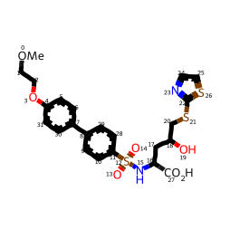 COCCOc1ccc(-c2ccc(S(=O)(=O)NC(CC(O)CSc3nccs3)C(=O)O)cc2)cc1